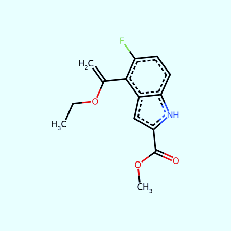 C=C(OCC)c1c(F)ccc2[nH]c(C(=O)OC)cc12